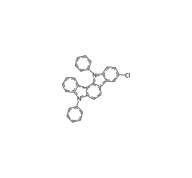 Clc1ccc2c(c1)c1ccc3c(c4ccccc4n3-c3ccccc3)c1n2-c1ccccc1